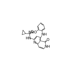 COc1ccccc1Nc1cc(NC(=O)C2CC2)nc2cc[nH]c(=O)c12